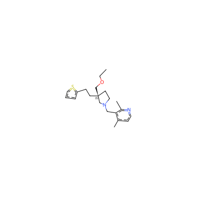 CCOC[C@@]1(CCc2cccs2)CCN(Cc2c(C)ccnc2C)C1